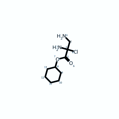 NCC(N)(Cl)C(=O)OC1CCCCC1